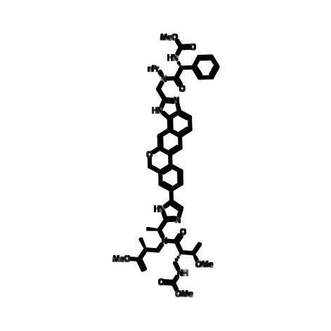 C=C(OC)[C@@H](C)CN(C(=O)[C@@H](CNC(=O)OC)[C@@H](C)OC)[C@@H](C)c1ncc(-c2ccc3c(c2)COc2cc4c(ccc5nc(CN(CCC)C(=O)[C@H](NC(=O)OC)c6ccccc6)[nH]c54)cc2-3)[nH]1